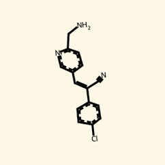 N#C/C(=C\c1ccc(CN)nc1)c1ccc(Cl)cc1